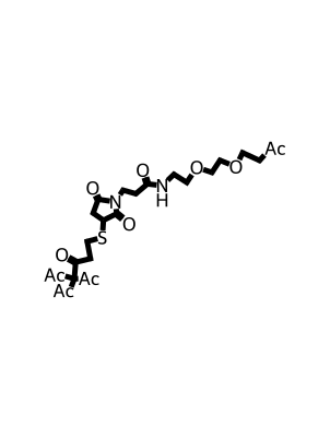 CC(=O)CCOCCOCCNC(=O)CCN1C(=O)CC(SCCC(=O)C(C(C)=O)(C(C)=O)C(C)=O)C1=O